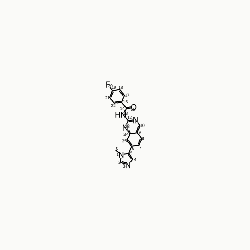 Cn1cncc1-c1ccc2cnc(NC(=O)c3ccc(F)cc3)nc2c1